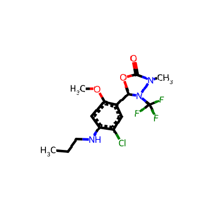 CCCNc1cc(OC)c(C2OC(=O)N(C)N2C(F)(F)F)cc1Cl